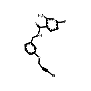 CCC#CCOc1cccc(CNC(=O)c2ccc(F)nc2N)c1